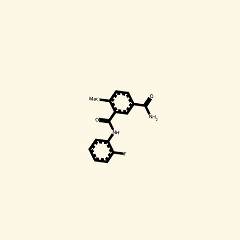 COc1ccc(C(N)=O)cc1C(=O)Nc1ccccc1F